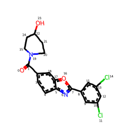 O=C(c1ccc2nc(-c3cc(Cl)cc(Cl)c3)oc2c1)N1CCC(O)CC1